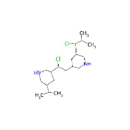 CC(C)C1CNCC(C(Cl)CC2CNCC(C(Cl)C(C)C)C2)C1